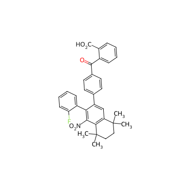 CC1(C)CCC(C)(C)c2c1cc(-c1ccc(C(=O)c3ccccc3C(=O)O)cc1)c(-c1ccccc1F)c2[N+](=O)[O-]